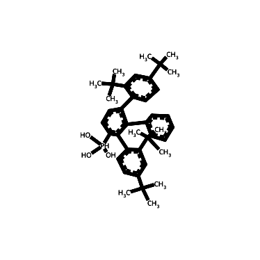 CC(C)(C)c1ccc(-c2ccc([PH](O)(O)O)c(-c3ccc(C(C)(C)C)cc3C(C)(C)C)c2-c2ccccc2)c(C(C)(C)C)c1